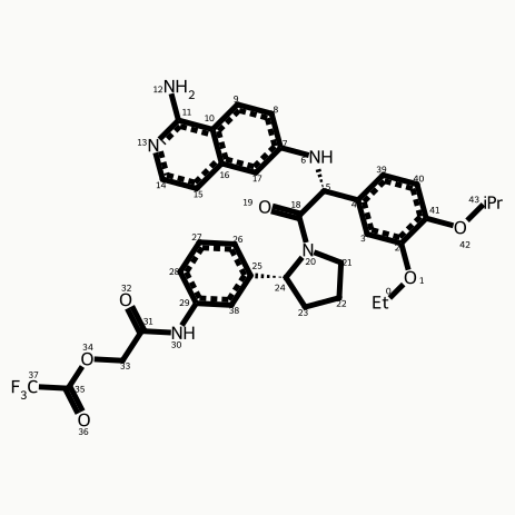 CCOc1cc([C@@H](Nc2ccc3c(N)nccc3c2)C(=O)N2CCC[C@@H]2c2cccc(NC(=O)COC(=O)C(F)(F)F)c2)ccc1OC(C)C